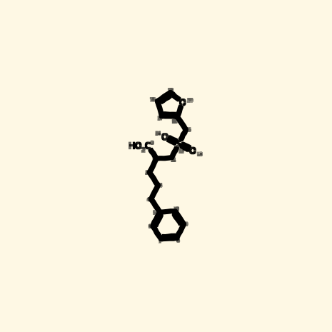 O=C(O)C(CCCc1ccccc1)CS(=O)(=O)Cc1ccco1